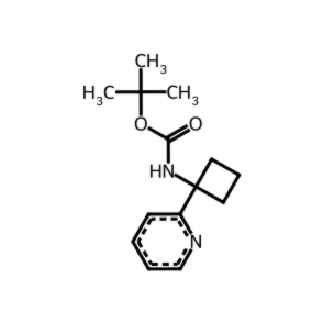 CC(C)(C)OC(=O)NC1(c2ccccn2)CCC1